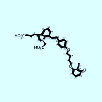 O=C(O)CCCc1cn(CC(=O)O)c2c(/C=C/c3ccc(OCCCCOc4cccc(Cl)c4F)cc3)cccc12